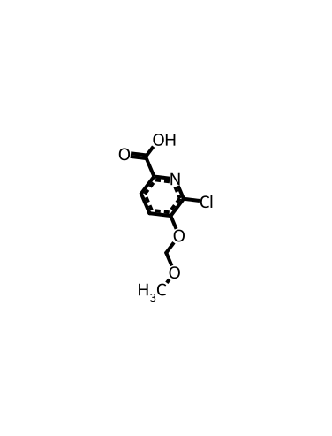 COCOc1ccc(C(=O)O)nc1Cl